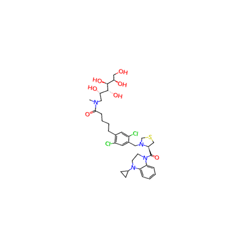 CN(C[C@H](O)[C@@H](O)[C@@H](O)[C@H](O)CO)C(=O)CCCCc1cc(Cl)c(CN2CSC[C@H]2C(=O)N2CCN(C3CC3)c3ccccc32)cc1Cl